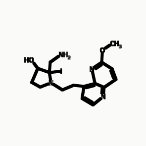 COc1ccc2nccc(CCN3CCC(O)C3(I)CN)c2n1